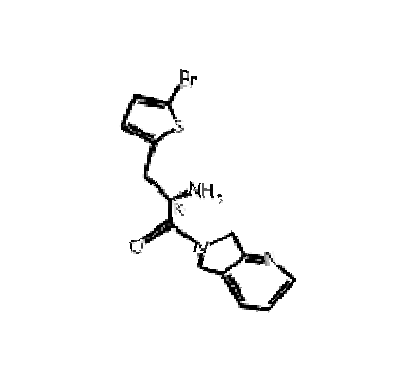 N[C@H](Cc1ccc(Br)s1)C(=O)N1Cc2cccnc2C1